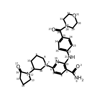 NC(=O)c1ccc(N2CCCC(N3CCCC3=O)C2)nc1Nc1ccc(C(=O)N2CCOCC2)cc1